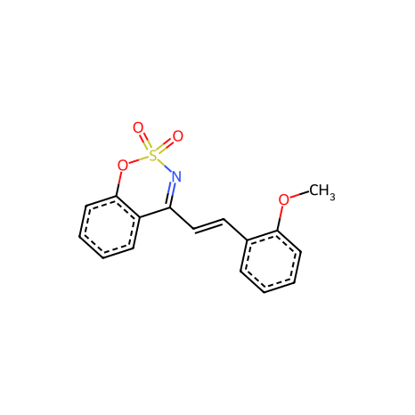 COc1ccccc1C=CC1=NS(=O)(=O)Oc2ccccc21